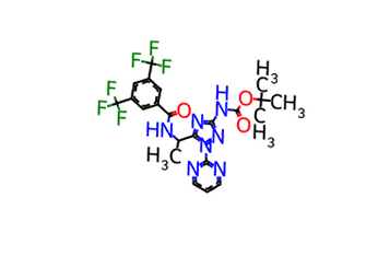 CC(NC(=O)c1cc(C(F)(F)F)cc(C(F)(F)F)c1)c1nc(NC(=O)OC(C)(C)C)nn1-c1ncccn1